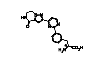 N[C@@H](Cc1cccc(-c2nccc(-c3cc4n(n3)CCNC4=O)n2)c1)C(=O)O